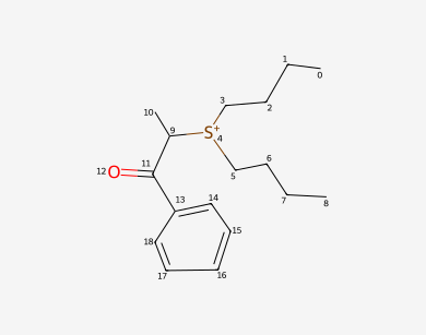 CCCC[S+](CCCC)C(C)C(=O)c1ccccc1